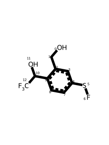 OCc1cc(SF)ccc1C(O)C(F)(F)F